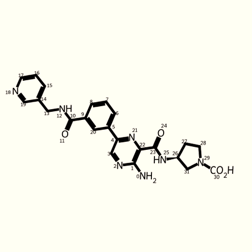 Nc1ncc(-c2cccc(C(=O)NCc3cccnc3)c2)nc1C(=O)N[C@H]1CCN(C(=O)O)C1